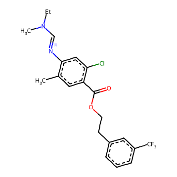 CCN(C)/C=N/c1cc(Cl)c(C(=O)OCCc2cccc(C(F)(F)F)c2)cc1C